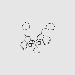 [Cl][Zr]([Cl])(=[C]1CCCC1)([CH]1C=C(CC2CCCCC2)c2ccccc21)[CH]1C=C(CC2CCCCC2)c2ccccc21